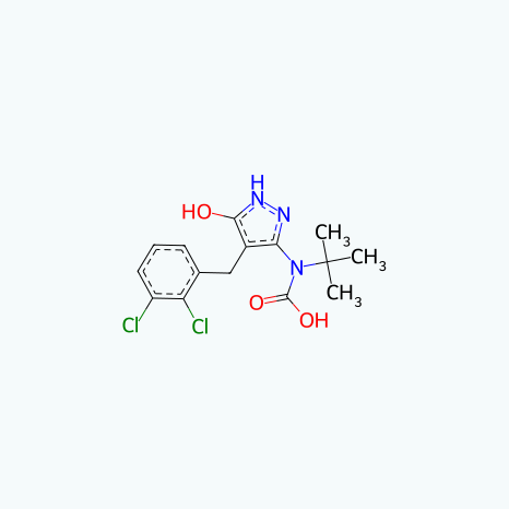 CC(C)(C)N(C(=O)O)c1n[nH]c(O)c1Cc1cccc(Cl)c1Cl